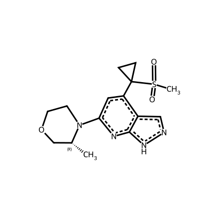 C[C@@H]1COCCN1c1cc(C2(S(C)(=O)=O)CC2)c2cn[nH]c2n1